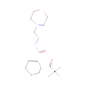 CC(C)(C)C(=O)[C@@H]1CCCC[C@@H]1C(=O)NCCN1CCOCC1